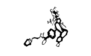 CC12C[C@H](c3ccc(C(=O)NCCN4CCCC4)cc3)C3=C4CCC(=O)C=C4CCC3[C@@H]1CC[C@@]2(O)C(F)(F)C(F)(F)F